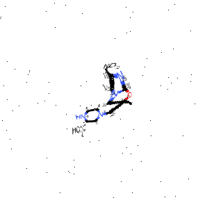 CC1(CN2CCN[C@@H](C(=O)O)C2)Cn2cc([N+](=O)[O-])nc2O1